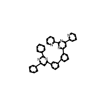 c1ccc(-c2cc(-c3cccc(-c4cccc(-c5cc(-c6ccccn6)nc(-c6ccccn6)n5)c4)c3)nc(-c3ccccc3)n2)cc1